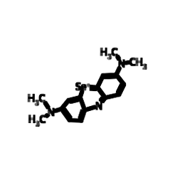 CN(C)c1ccc2nc3ccc(N(C)C)cc3[se+]c2c1